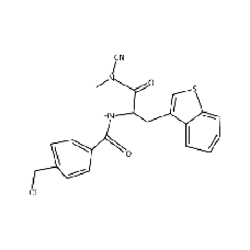 CN(C#N)C(=O)C(Cc1csc2ccccc12)NC(=O)c1ccc(CCl)cc1